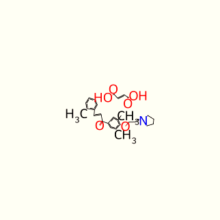 Cc1ccccc1C=CC(=O)c1cc(C)c(OCCCN2CCCC2)c(C)c1.O=C(O)C=CC(=O)O